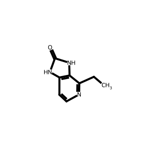 CCc1nccc2[nH]c(=O)[nH]c12